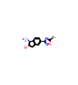 CCc1nc(-c2ccc3c(c2)C[C@H](O)[C@H]3N)no1